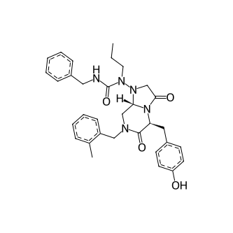 CCCN(C(=O)NCc1ccccc1)N1CC(=O)N2[C@@H](Cc3ccc(O)cc3)C(=O)N(Cc3ccccc3C)C[C@@H]21